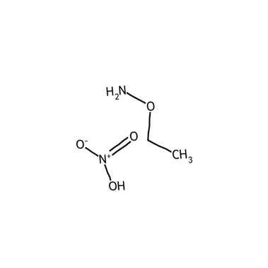 CCON.O=[N+]([O-])O